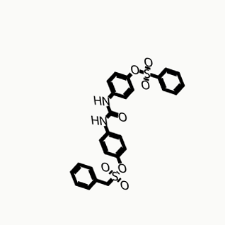 O=C(Nc1ccc(OS(=O)(=O)Cc2ccccc2)cc1)Nc1ccc(OS(=O)(=O)c2ccccc2)cc1